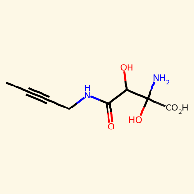 CC#CCNC(=O)C(O)C(N)(O)C(=O)O